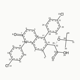 Cc1cc2c(ccc(=O)n2-c2ccc(Cl)cc2)c(-c2ccc(Cl)cc2)c1[C@H](OC(C)(C)C)C(=O)O